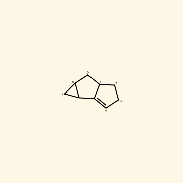 [C]1C2CCC=C2C2CC12